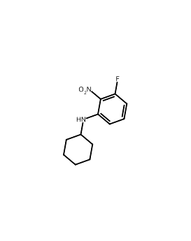 O=[N+]([O-])c1c(F)cccc1NC1CCCCC1